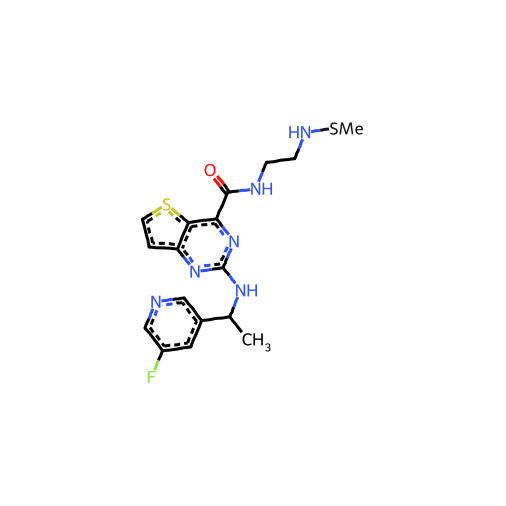 CSNCCNC(=O)c1nc(NC(C)c2cncc(F)c2)nc2ccsc12